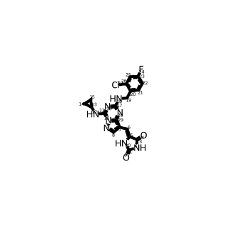 O=C1NC(=O)/C(=C/c2cnn3c(NC4CC4)nc(NCc4ccc(F)cc4Cl)nc23)N1